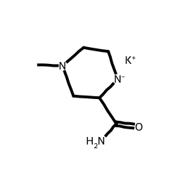 CN1CC[N-]C(C(N)=O)C1.[K+]